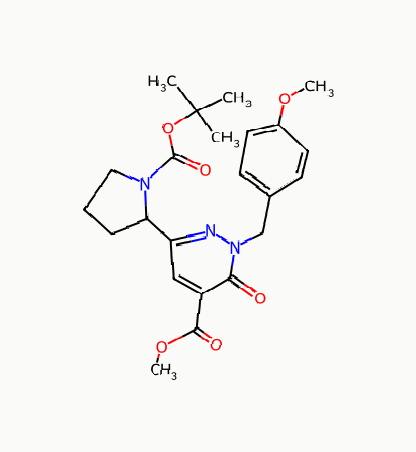 COC(=O)c1cc(C2CCCN2C(=O)OC(C)(C)C)nn(Cc2ccc(OC)cc2)c1=O